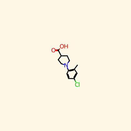 Cc1cc(Cl)ccc1N1CCC(C(=O)O)CC1